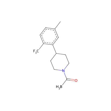 BC(=O)N1CCC(c2cc(C)ccc2C(F)(F)F)CC1